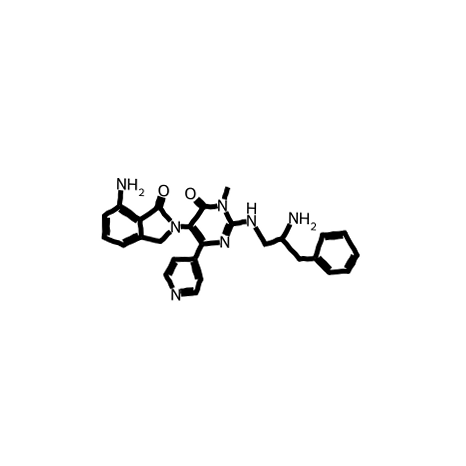 Cn1c(NCC(N)Cc2ccccc2)nc(-c2ccncc2)c(N2Cc3cccc(N)c3C2=O)c1=O